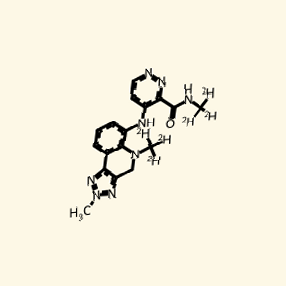 [2H]C([2H])([2H])NC(=O)c1nnccc1Nc1cccc2c1N(C([2H])([2H])[2H])Cc1nn(C)nc1-2